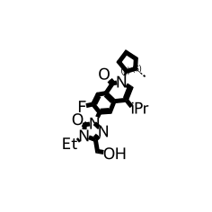 CCn1c(CO)nn(-c2cc3c(C(C)C)cn([C@H]4CCC[C@@H]4C)c(=O)c3cc2F)c1=O